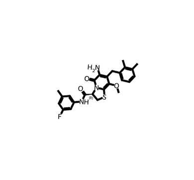 COc1c(Cc2cccc(C)c2C)c(N)c(=O)n2c1SC[C@H]2C(=O)Nc1cc(C)cc(F)c1